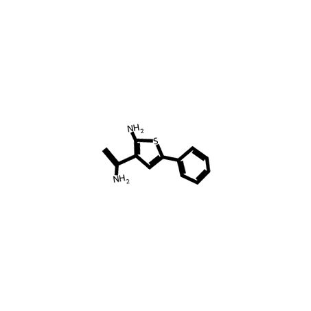 C=C(N)c1cc(-c2ccccc2)sc1N